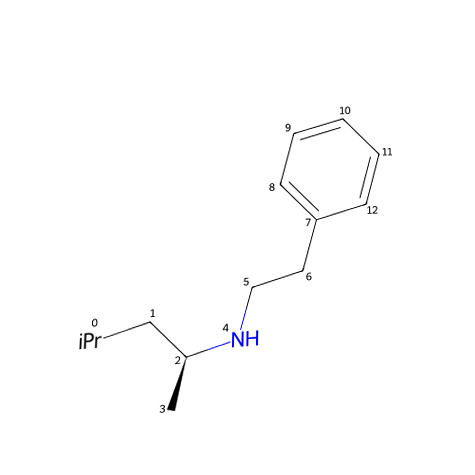 CC(C)C[C@H](C)NCCc1ccccc1